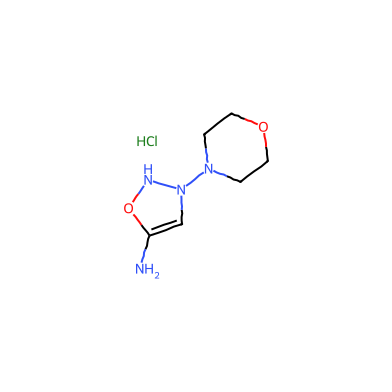 Cl.NC1=CN(N2CCOCC2)NO1